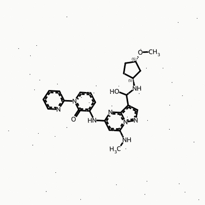 CNc1cc(Nc2cccn(-c3ccccn3)c2=O)nc2c(C(O)N[C@H]3CC[C@H](OC)C3)cnn12